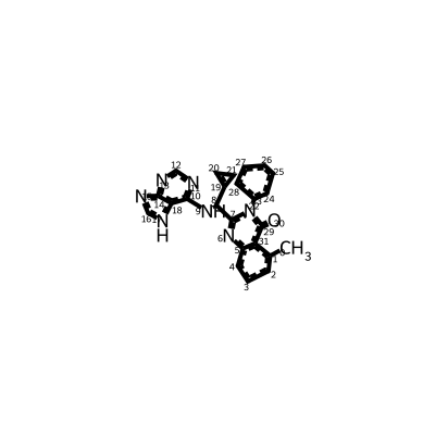 Cc1cccc2nc([C@@H](Nc3ncnc4nc[nH]c34)C3=CC3)n(-c3ccccc3)c(=O)c12